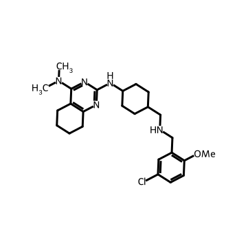 COc1ccc(Cl)cc1CNCC1CCC(Nc2nc3c(c(N(C)C)n2)CCCC3)CC1